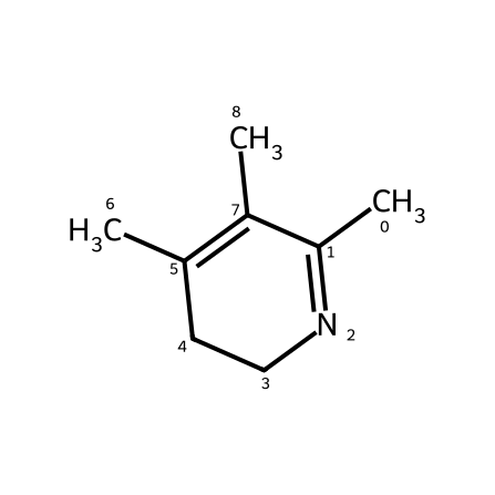 CC1=NCCC(C)=C1C